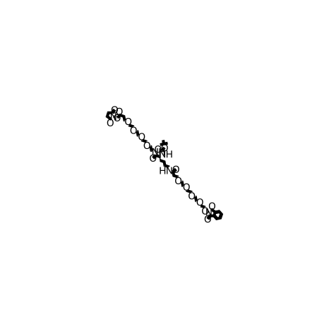 CC(C)(C)OC(=O)N[C@@H](CCCCNC(=O)CCOCCOCCOCCOCCON1C(=O)c2ccccc2C1=O)C(=O)NCCOCCOCCOCCOCCC(=O)ON1C(=O)CCC1=O